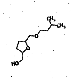 CC(C)CCOCC1CCC(CO)O1